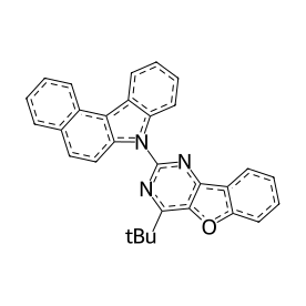 CC(C)(C)c1nc(-n2c3ccccc3c3c4ccccc4ccc32)nc2c1oc1ccccc12